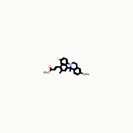 COC(=O)/C=C/c1ccc(C2(C)c3ccc(OC)cc3CCN2c2ccc(F)cc2)cc1C